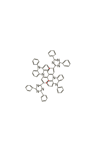 c1ccc(-c2nc(-c3ccccc3)nc(-c3ccc(-c4ccc(-c5nc(-c6ccccc6)nc(-c6ccccc6)n5)cc4N4c5ccccc5N(c5ccccc5)c5ccccc54)c(N4c5ccccc5N(c5ccccc5)c5ccccc54)c3)n2)cc1